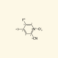 N#Cc1cc(I)c(F)c[n+]1[O-]